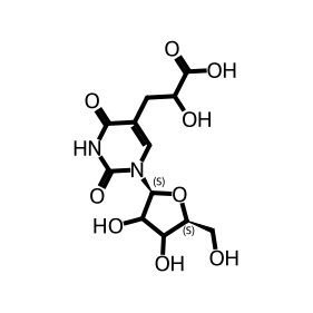 O=C(O)C(O)Cc1cn([C@H]2O[C@@H](CO)C(O)C2O)c(=O)[nH]c1=O